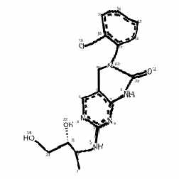 CC(Nc1ncc2c(n1)NC(=O)N(c1ccccc1Cl)C2)[C@@H](O)CO